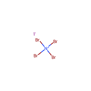 Br[N+](Br)(Br)Br.[I-]